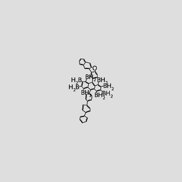 Bc1c(B)c(B)c2c(-c3ccc4oc5cc6ccccc6cc5c4c3)c3c(B)c(B)c(B)c(B)c3c(-c3ccc(-c4ccc(-c5ccccc5)cc4)cc3)c2c1B